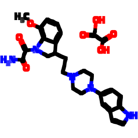 COc1cccc2c1N(C(=O)C(N)=O)CC2CCN1CCN(c2ccc3[nH]ccc3c2)CC1.O=C(O)C(=O)O